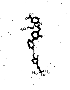 COCCn1c(Cc2ccc(-c3cccc(OCc4ccc(C#CC(C)(C)O)cc4F)n3)cc2F)nc2ccc(C(=O)O)cc21